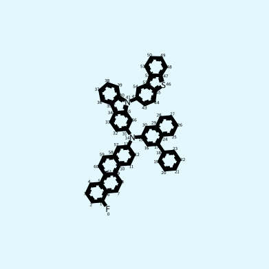 Fc1cccc2c1ccc1c3ccc(N(c4cc(-c5ccccc5)c5ccccc5c4)c4ccc5c6ccccc6n(-c6ccc7sc8ccccc8c7c6)c5c4)cc3ccc21